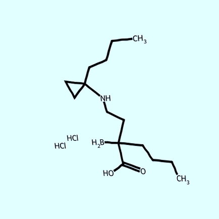 BC(CCCC)(CCNC1(CCCC)CC1)C(=O)O.Cl.Cl